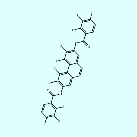 O=C(Oc1cc2ccc3cc(OC(=O)c4ccc(F)c(F)c4F)c(F)c(F)c3c2c(F)c1F)c1ccc(F)c(F)c1F